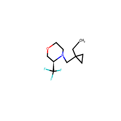 CCC1(CN2CCOC[C@@H]2C(F)(F)F)CC1